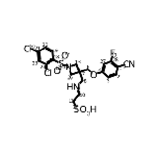 N#Cc1ccc(OCC2(CNCCS(=O)(=O)O)CN(S(=O)(=O)c3ccc(Cl)cc3Cl)C2)cc1F